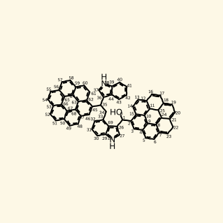 OC(c1cc2ccc3c4c2c2c5c(ccc12)C=CC1=CC=C(CC=3)C=4C15)c1c[nH]c2cccc(CC(c3c[nH]c4ccccc34)c3cc4ccc5ccc6ccc7ccc8ccc3c3c8c7c6c5c43)c12